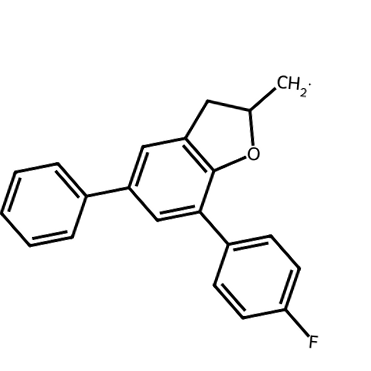 [CH2]C1Cc2cc(-c3ccccc3)cc(-c3ccc(F)cc3)c2O1